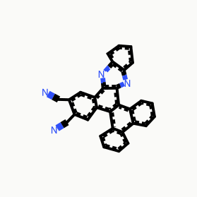 N#Cc1cc2c(cc1C#N)c1c3ccccc3c3ccccc3c1c1nc3ccccc3nc21